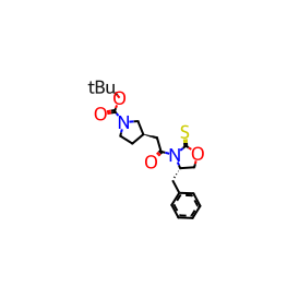 CC(C)(C)OC(=O)N1CC[C@H](CC(=O)N2C(=S)OC[C@@H]2Cc2ccccc2)C1